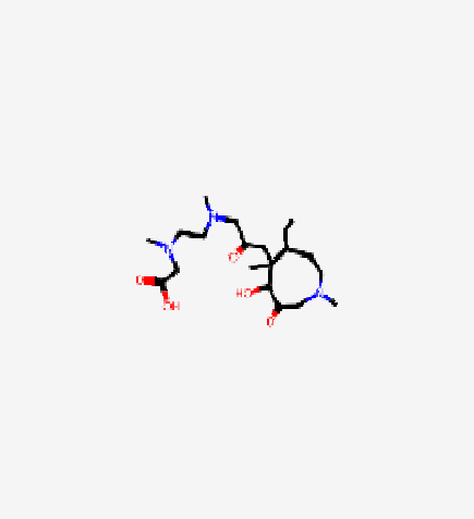 CCC1CCN(C)CC(=O)C(O)C1(C)CC(=O)CN(C)CCN(C)CC(=O)O